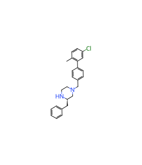 Cc1ccc(Cl)cc1-c1ccc(CN2CCN[C@H](Cc3ccccc3)C2)cc1